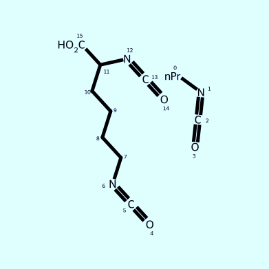 CCCN=C=O.O=C=NCCCCC(N=C=O)C(=O)O